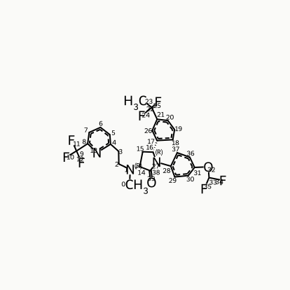 CN(CCc1cccc(C(F)(F)F)n1)[C@@H]1C[C@H](c2cccc(C(C)(F)F)c2)N(c2ccc(OC(F)F)cc2)C1=O